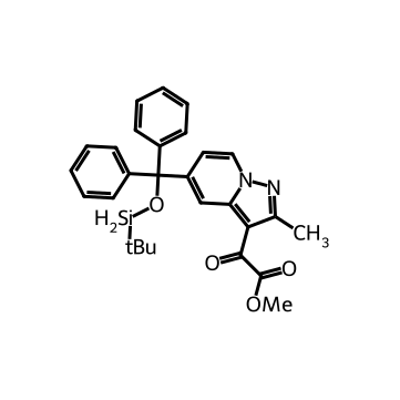 COC(=O)C(=O)c1c(C)nn2ccc(C(O[SiH2]C(C)(C)C)(c3ccccc3)c3ccccc3)cc12